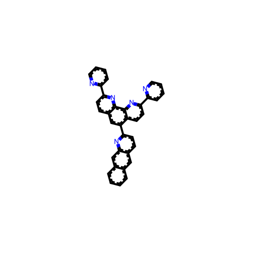 c1ccc(-c2ccc3cc(-c4ccc5cc6ccccc6cc5n4)c4ccc(-c5ccccn5)nc4c3n2)nc1